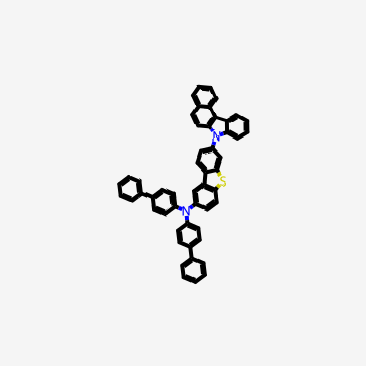 c1ccc(-c2ccc(N(c3ccc(-c4ccccc4)cc3)c3ccc4sc5cc(-n6c7ccccc7c7c8ccccc8ccc76)ccc5c4c3)cc2)cc1